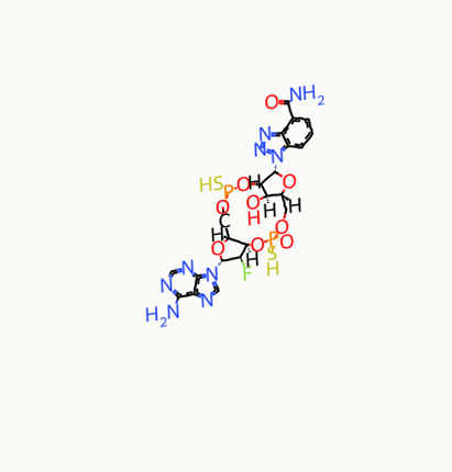 NC(=O)c1cccc2c1nnn2[C@@H]1O[C@@H]2COP(=O)(S)O[C@H]3[C@@H](F)[C@H](n4cnc5c(N)ncnc54)O[C@@H]3COP(S)O[C@@H]1[C@@H]2O